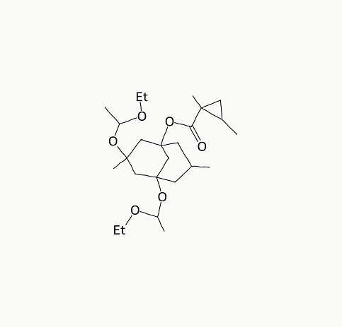 CCOC(C)OC1(C)CC2(OC(=O)C3(C)CC3C)CC(C)CC(OC(C)OCC)(C1)C2